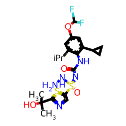 CC(C)c1cc(OC(F)F)cc(C2CC2)c1NC(=O)N=S(=O)(NN)c1cnc(C(C)(C)O)s1